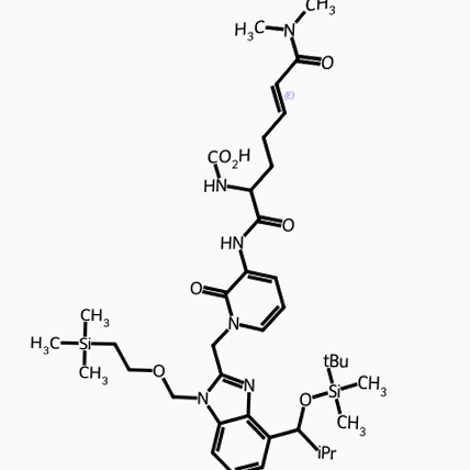 CC(C)C(O[Si](C)(C)C(C)(C)C)c1cccc2c1nc(Cn1cccc(NC(=O)C(CC/C=C/C(=O)N(C)C)NC(=O)O)c1=O)n2COCC[Si](C)(C)C